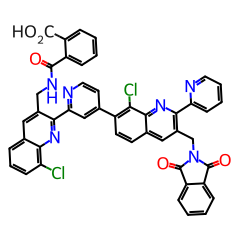 O=C(O)c1ccccc1C(=O)NCc1cc2cccc(Cl)c2nc1-c1cc(-c2ccc3cc(CN4C(=O)c5ccccc5C4=O)c(-c4ccccn4)nc3c2Cl)ccn1